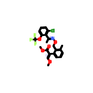 CO/C=C(/C(=O)OC)c1cccc(C)c1CO/N=C(\C)c1c(Cl)cccc1OC(F)(F)F